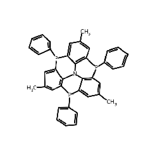 Cc1cc2c3c(c1)P(c1ccccc1)c1cc(C)cc4c1N3c1c(cc(C)cc1P4c1ccccc1)P2c1ccccc1